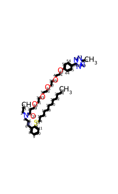 C#CCN(C/C=C/c1ccccc1SCCCCCCCCCCCC)C(=O)CCOCCOCCOCCOCCOc1ccc(-c2nnc(C)nn2)cc1